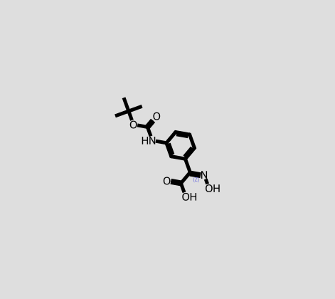 CC(C)(C)OC(=O)Nc1cccc(/C(=N/O)C(=O)O)c1